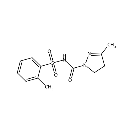 CC1=NN(C(=O)NS(=O)(=O)c2ccccc2C)CC1